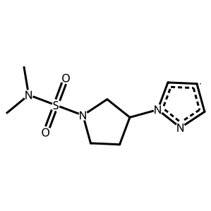 CN(C)S(=O)(=O)N1CCC(n2c[c]cn2)C1